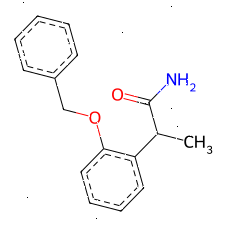 CC(C(N)=O)c1ccccc1OCc1ccccc1